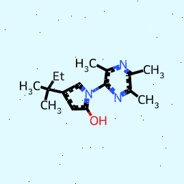 CCC(C)(C)c1cc(O)n(-c2nc(C)c(C)nc2C)c1